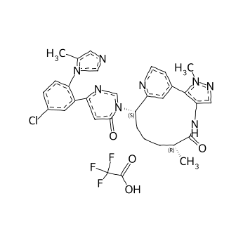 Cc1cncn1-c1ccc(Cl)cc1-c1cc(=O)n([C@H]2CCC[C@@H](C)C(=O)Nc3cnn(C)c3-c3ccnc2c3)cn1.O=C(O)C(F)(F)F